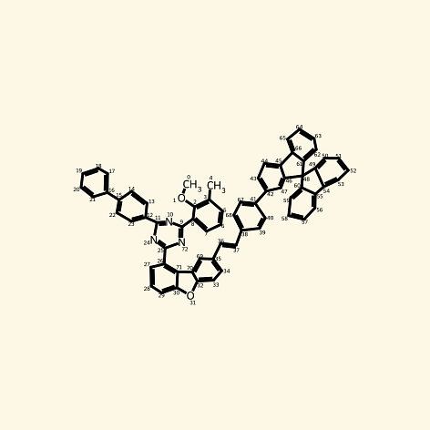 COc1c(C)cccc1-c1nc(-c2ccc(-c3ccccc3)cc2)nc(-c2cccc3oc4ccc(C=Cc5ccc(-c6ccc7c(c6)C6(c8ccccc8-c8ccccc86)c6ccccc6-7)cc5)cc4c23)n1